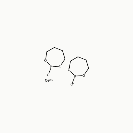 [Ge+2].[O-]B1OCCCCO1.[O-]B1OCCCCO1